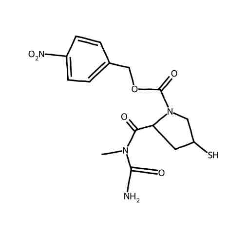 CN(C(N)=O)C(=O)C1CC(S)CN1C(=O)OCc1ccc([N+](=O)[O-])cc1